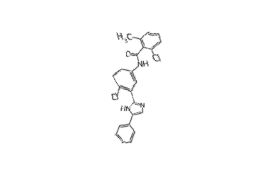 Cc1cccc(Cl)c1C(=O)Nc1ccc(Cl)c(-c2ncc(-c3ccccc3)[nH]2)c1